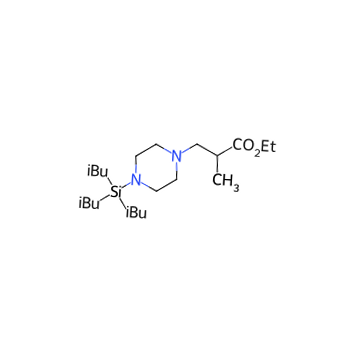 CCOC(=O)C(C)CN1CCN([Si](C(C)CC)(C(C)CC)C(C)CC)CC1